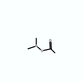 CC(=O)ON(C)C